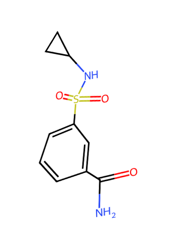 NC(=O)c1cccc(S(=O)(=O)NC2CC2)c1